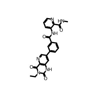 CCn1c(=O)[nH]c2cc(-c3cccc(C(=O)Nc4cccnc4C(=O)NC)c3)cnc2c1=O